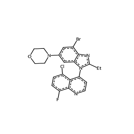 CCc1nc2c(Br)cc(N3CCOCC3)cc2n1-c1ccnc2c(F)ccc(Cl)c12